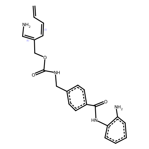 C=C/C=C\C(=C/N)COC(=O)NCc1ccc(C(=O)Nc2ccccc2N)cc1